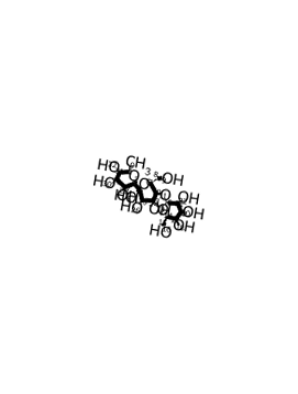 C[C@@H]1OC(C2(O)O[C@H](CO)[C@@H](O[C@@H]3O[C@H](CO)[C@H](O)[C@H](O)[C@H]3O)[C@H](O)[C@H]2O)[C@@H](O)[C@H](O)[C@@H]1O